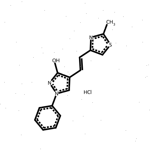 Cc1nc(/C=C/c2cn(-c3ccccc3)nc2O)cs1.Cl